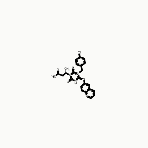 C[C@@H](CC(=O)O)n1c(=O)[nH]/c(=N\c2ccc3ncccc3c2)n(Cc2ccc(Cl)cc2)c1=O